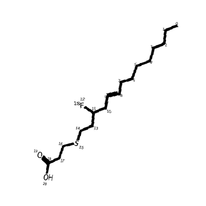 CCCCCCCC/C=C/CC([18F])CCSCCC(=O)O